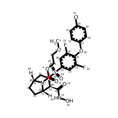 COCCOC(=O)N1[C@@H]2CC[C@H]1[C@H](C(=O)NO)N(S(=O)(=O)c1cc(F)c(Oc3ccc(Cl)cc3)c(F)c1)C2